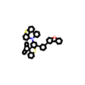 c1ccc(N(c2cc(-c3cccc(-c4ccc5oc6ccccc6c5c4)c3)c3c(c2)C2(c4ccccc4S3)c3ccccc3-c3ccccc32)c2cccc3sc4ccccc4c23)cc1